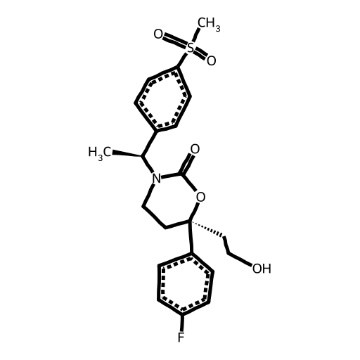 C[C@@H](c1ccc(S(C)(=O)=O)cc1)N1CC[C@](CCO)(c2ccc(F)cc2)OC1=O